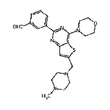 CN1CCN(Cc2cc3nc(-c4cccc(C=O)c4)nc(N4CCOCC4)c3s2)CC1